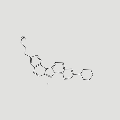 CCCCc1ccc2c(ccc3c[n+]4c5ccc(N6CCCCC6)cc5ccc4n32)c1.[I-]